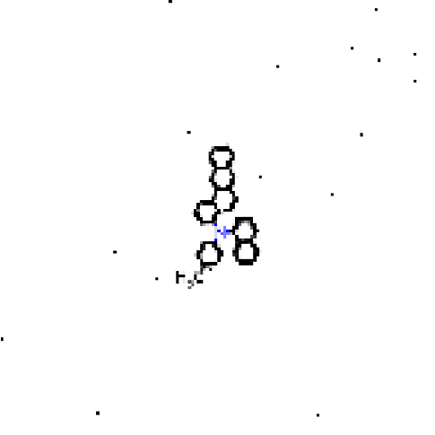 Cc1ccc(N(c2cccc3ccccc23)c2cccc3c2ccc2cc4ccccc4cc23)cc1